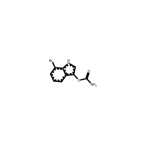 NC(=O)Oc1c[nH]c2c(Br)cccc12